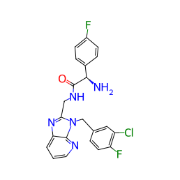 N[C@@H](C(=O)NCc1nc2cccnc2n1Cc1ccc(F)c(Cl)c1)c1ccc(F)cc1